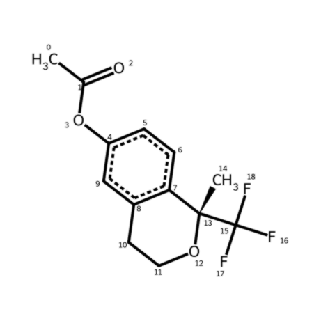 CC(=O)Oc1ccc2c(c1)CCO[C@@]2(C)C(F)(F)F